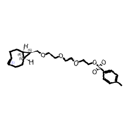 Cc1ccc(S(=O)(=O)OCCOCCOCCOC[C@@H]2[C@@H]3CC/C=C/CC[C@@H]32)cc1